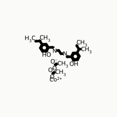 CC(=O)[O-].CC(=O)[O-].CCC(C)c1ccc(O)c(C=NCCN=Cc2cc(C(C)CC)ccc2O)c1.[Co+2]